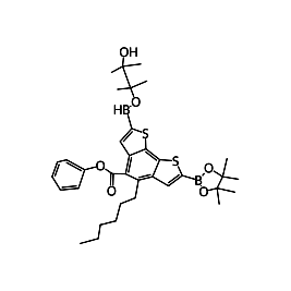 CCCCCCc1c(C(=O)Oc2ccccc2)c2cc(BOC(C)(C)C(C)(C)O)sc2c2sc(B3OC(C)(C)C(C)(C)O3)cc12